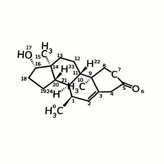 C[C@@H]1C=C2CC(=O)CC[C@]2(C)[C@H]2CC[C@]3(C)[C@@H](O)CC[C@H]3[C@H]12